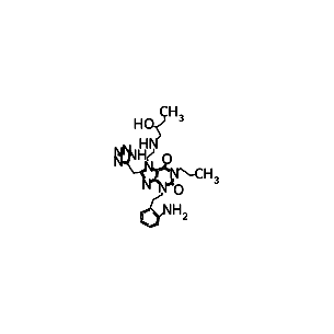 CCCn1c(=O)c2c(nc(Cc3nnn[nH]3)n2CCNCC(O)CC)n(CCc2ccccc2N)c1=O